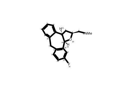 CNC[C@@H]1C[C@@H]2c3ccccc3Cc3ccc(F)cc3[C@@H]2O1